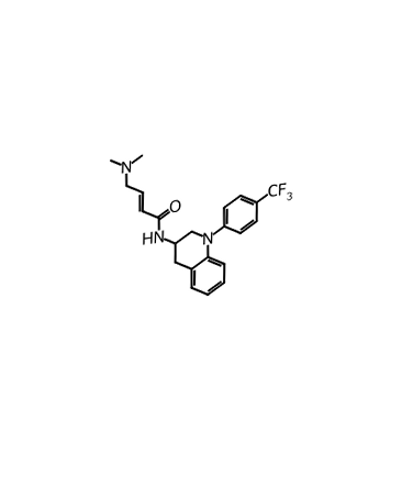 CN(C)C/C=C/C(=O)NC1Cc2ccccc2N(c2ccc(C(F)(F)F)cc2)C1